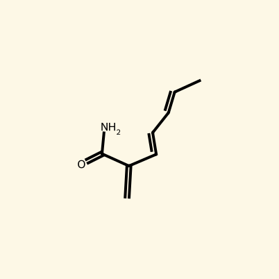 C=C(C=CC=CC)C(N)=O